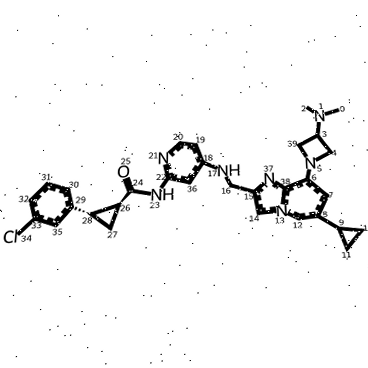 CN(C)C1CN(c2cc(C3CC3)cn3cc(CNc4ccnc(NC(=O)[C@H]5C[C@@H]5c5cccc(Cl)c5)c4)nc23)C1